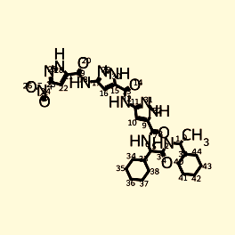 CC(NC(=O)C(NC(=O)c1cc(NC(=O)c2cc(NC(=O)c3cc([N+](=O)[O-])n[nH]3)n[nH]2)n[nH]1)C1CCCCC1)C1CCCCC1